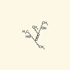 CCC=CCCC(CCCCC(O)CCCC)OCOCOC(CCC=CCC)CCCCC(O)CCCC